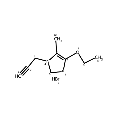 Br.C#CCN1CSC(OCC)=C1C